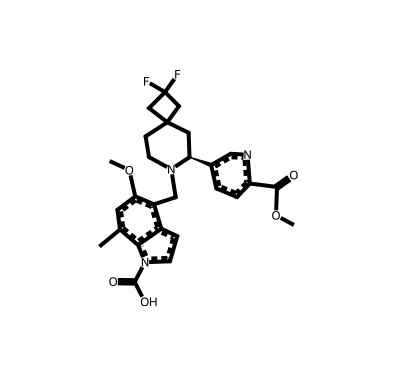 COC(=O)c1ccc([C@@H]2CC3(CCN2Cc2c(OC)cc(C)c4c2ccn4C(=O)O)CC(F)(F)C3)cn1